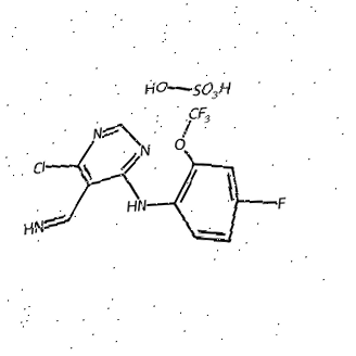 N=Cc1c(Cl)ncnc1Nc1ccc(F)cc1OC(F)(F)F.O=S(=O)(O)O